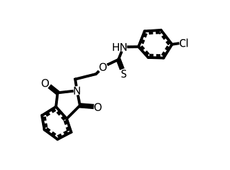 O=C1c2ccccc2C(=O)N1CCOC(=S)Nc1ccc(Cl)cc1